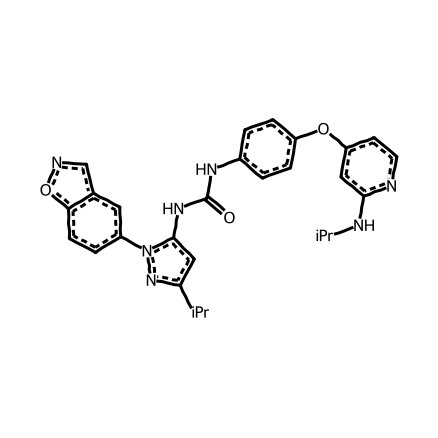 CC(C)Nc1cc(Oc2ccc(NC(=O)Nc3cc(C(C)C)nn3-c3ccc4oncc4c3)cc2)ccn1